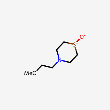 COCCN1CC[S+]([O-])CC1